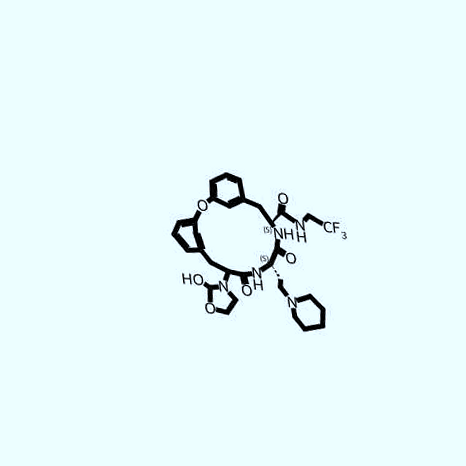 O=C1N[C@@H](CCN2CCCCC2)C(=O)N[C@H](C(=O)NCC(F)(F)F)Cc2cccc(c2)Oc2cccc(c2)CC1N1CCOC1O